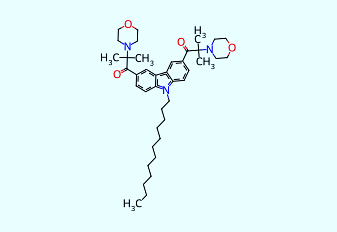 CCCCCCCCCCCCn1c2ccc(C(=O)C(C)(C)N3CCOCC3)cc2c2cc(C(=O)C(C)(C)N3CCOCC3)ccc21